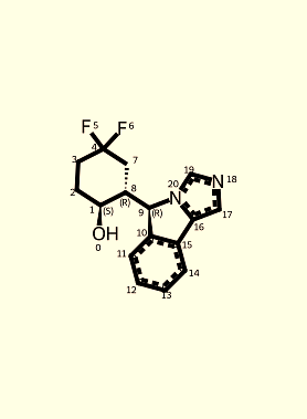 O[C@H]1CCC(F)(F)C[C@@H]1[C@@H]1c2ccccc2-c2cncn21